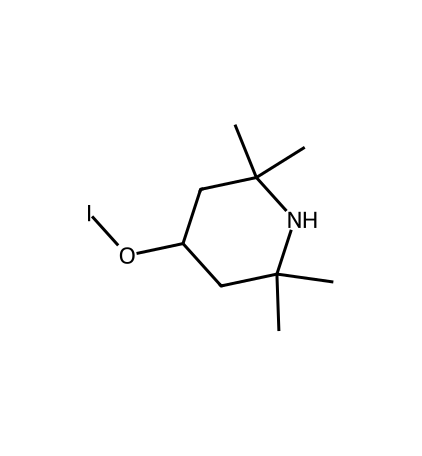 CC1(C)CC(OI)CC(C)(C)N1